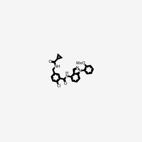 COc1ccccc1-n1ncc2c(NC(=O)c3cc(CNC(=O)C4CC4)ccc3Cl)cccc21